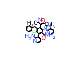 Cc1noc(C)c1-c1c(Cc2ccccc2)c(F)c(-c2cccnc2N)c(C(N)=O)c1-n1cnc2cccnc21